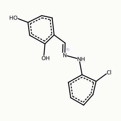 Oc1ccc(/C=N/Nc2ccccc2Cl)c(O)c1